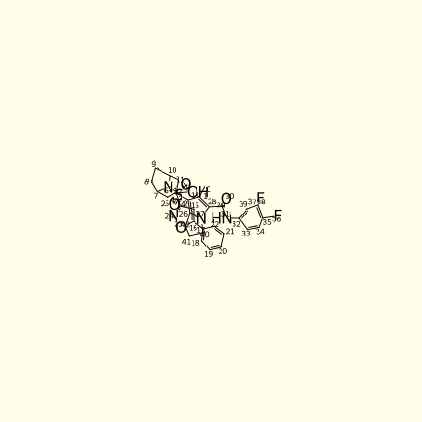 Cc1c(S(=O)(=O)N2C3CCC2CC(O)(c2cc(-c4ccccc4)on2)C3)c2n(c1C(=O)Nc1ccc(F)c(F)c1)CCC2